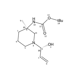 C=C[C@@H](O)N1CCC[C@@](C)(NC(=O)OC(C)(C)C)C1